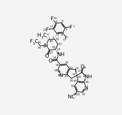 C[C@@H]1[C@H](c2c(F)c(F)cc(F)c2F)C[C@H](NC(=O)c2cnc3c(c2)C[C@@]2(C3)C(=O)Nc3ncc(C#N)cc32)C(=O)N1CC(F)(F)F